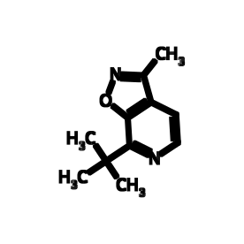 Cc1noc2c(C(C)(C)C)nccc12